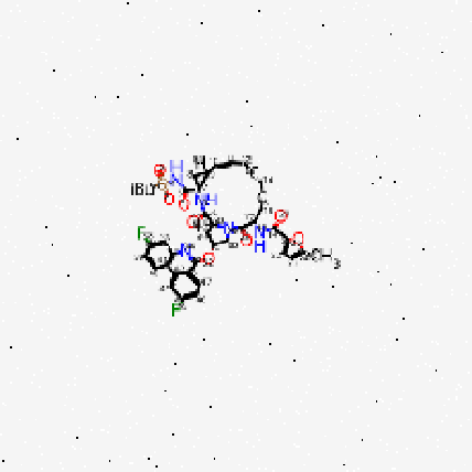 CCC(C)S(=O)(=O)NC(=O)[C@@]12C[C@H]1/C=C\CCCCC[C@H](NC(=O)c1ccc(C)o1)C(=O)N1C[C@H](Oc3nc4cc(F)ccc4c4cc(F)ccc34)C[C@H]1C(=O)N2